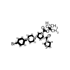 CC(C)(C)OC(=O)N1C[C@@H](N2CCN(c3ccc(Br)cc3)CC2)C[C@H]1C(=O)N1CCSC1